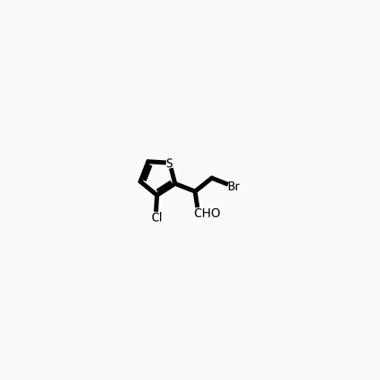 O=CC(CBr)c1sccc1Cl